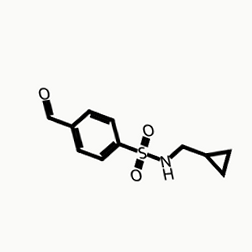 O=Cc1ccc(S(=O)(=O)NCC2CC2)cc1